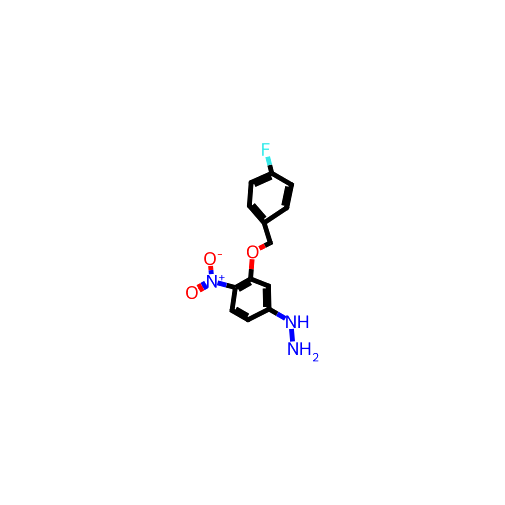 NNc1ccc([N+](=O)[O-])c(OCc2ccc(F)cc2)c1